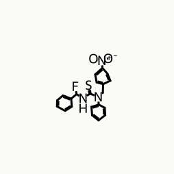 O=[N+]([O-])c1ccc(CN(C(=S)NC(F)c2ccccc2)c2ccccc2)cc1